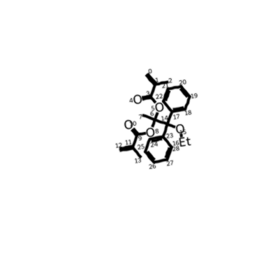 C=C(C)C(=O)OC(C)(OC(=O)C(=C)C)C(OCC)(c1ccccc1)c1ccccc1